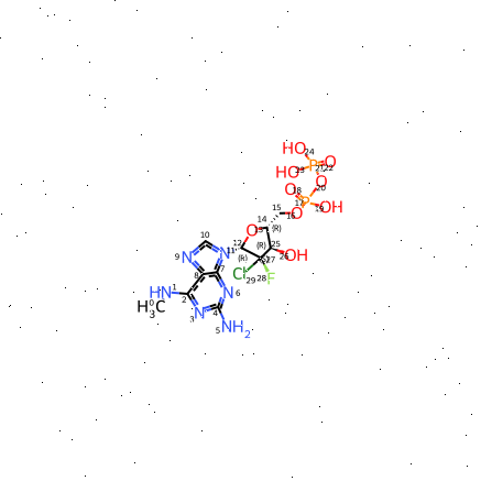 CNc1nc(N)nc2c1ncn2[C@@H]1O[C@H](COP(=O)(O)OP(=O)(O)O)[C@@H](O)[C@]1(F)Cl